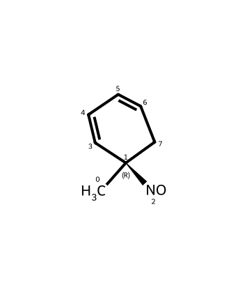 C[C@]1(N=O)C=CC=CC1